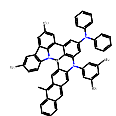 Cc1c2ccccc2cc2cc3c(cc12)B1c2c(cc(N(c4ccccc4)c4ccccc4)cc2N3c2cc(C(C)(C)C)cc(C(C)(C)C)c2)-c2cc(C(C)(C)C)cc3c4cc(C(C)(C)C)ccc4n1c23